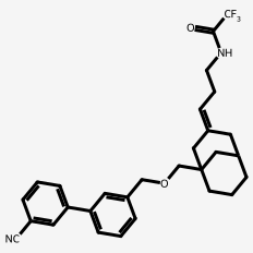 N#Cc1cccc(-c2cccc(COCC34CCCC(CC(=CCCNC(=O)C(F)(F)F)C3)C4)c2)c1